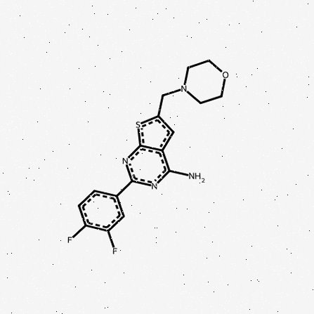 Nc1nc(-c2ccc(F)c(F)c2)nc2sc(CN3CCOCC3)cc12